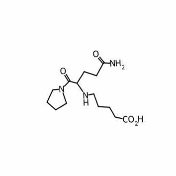 NC(=O)CCC(NCCCCC(=O)O)C(=O)N1CCCC1